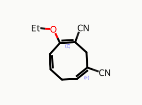 CCO/C1=C(\C#N)C/C(C#N)=C\CC=C1